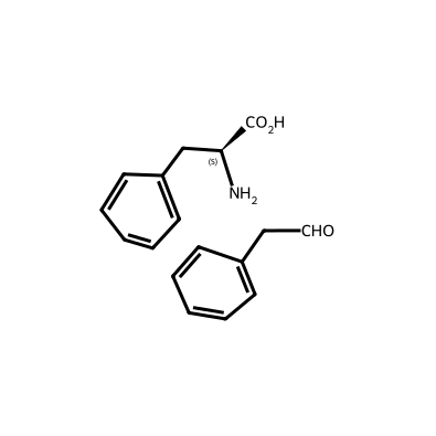 N[C@@H](Cc1ccccc1)C(=O)O.O=CCc1ccccc1